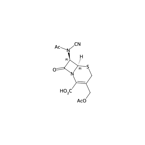 CC(=O)OCC1=C(C(=O)O)N2C(=O)[C@@H](N(C#N)C(C)=O)[C@H]2SC1